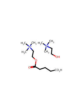 C[N+](C)(C)CCO.C[N+](C)(C)CCOC(=O)CCCC(=O)O